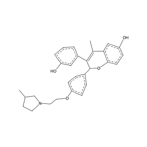 CC1=C(c2cccc(O)c2)C(c2ccc(OCCN3CCC(C)C3)cc2)Oc2ccc(O)cc21